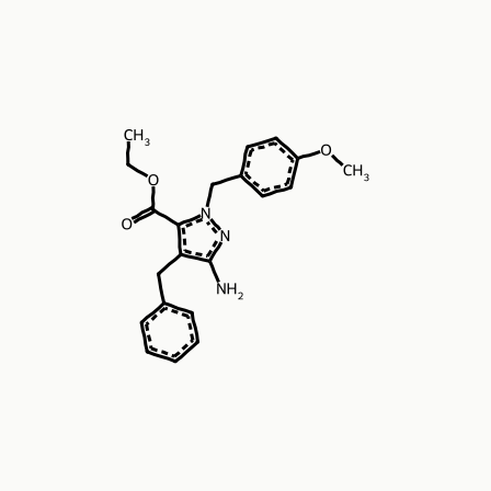 CCOC(=O)c1c(Cc2ccccc2)c(N)nn1Cc1ccc(OC)cc1